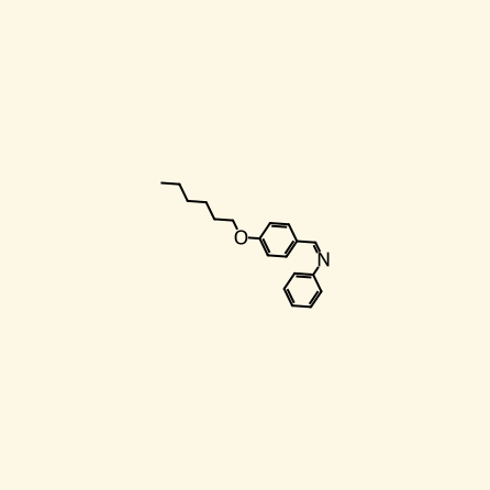 CCCCCCOc1ccc(/C=N\c2ccccc2)cc1